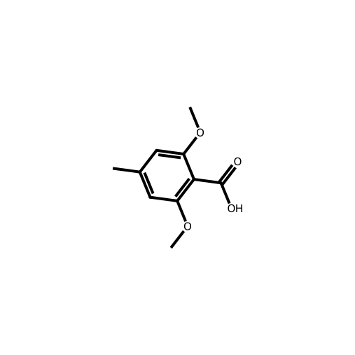 COc1cc(C)cc(OC)c1C(=O)O